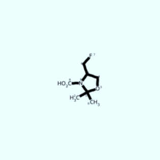 CC1(C)OCC(CF)N1C(=O)O